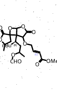 CCCC[C@H](CC(C)OC=O)C12C(OC(=O)C1OC/C=C/C(=O)OC)OC21CC(C)OC1=O